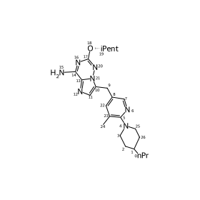 CCCC1CCN(c2ncc(Cc3cnc4c(N)nc(O[C@@H](C)CCC)nn34)cc2C)CC1